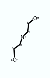 [O]CC[N]CC[O]